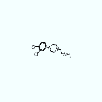 NCCN1CCN(c2ccc(Cl)c(Cl)c2)CC1